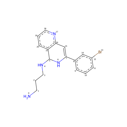 NCCCNC1NC(c2cccc(Br)c2)=Cc2ncccc21